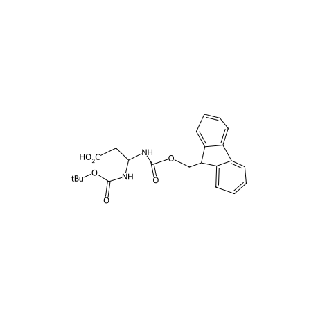 CC(C)(C)OC(=O)NC(CC(=O)O)NC(=O)OCC1c2ccccc2-c2ccccc21